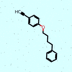 C#Cc1ccc(OCCCCc2ccccc2)cc1